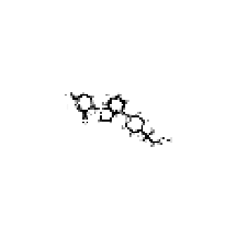 O=C1CCC(N2CCc3c(N4CCC(C(F)(F)CO)CC4)cccc32)C(=O)N1